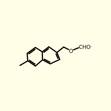 Cc1ccc2cc(CO[C]=O)ccc2c1